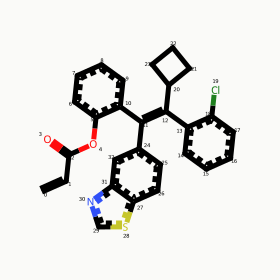 C=CC(=O)Oc1ccccc1/C(=C(/c1ccccc1Cl)C1CCC1)c1ccc2scnc2c1